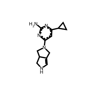 Nc1nc(C2CC2)cc(N2CC3=CNCC3C2)n1